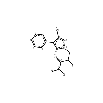 CC(Cn1cc(Cl)c(-c2ccccc2)n1)C(=O)N(C)C